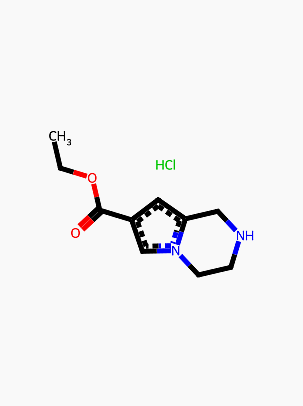 CCOC(=O)c1cc2n(c1)CCNC2.Cl